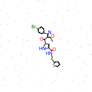 Cc1onc(-c2ccc(Br)cc2)c1C(=O)C1C=C(C(=O)NCCc2cccs2)NC1